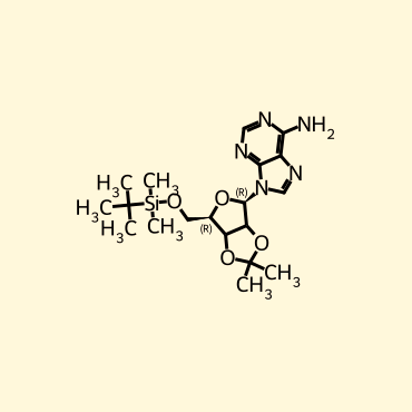 CC1(C)OC2C(O1)[C@@H](CO[Si](C)(C)C(C)(C)C)O[C@H]2n1cnc2c(N)ncnc21